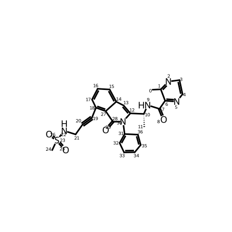 Cc1nccnc1C(=O)N[C@H](C)c1cc2cccc(C#CCNS(C)(=O)=O)c2c(=O)n1-c1ccccc1